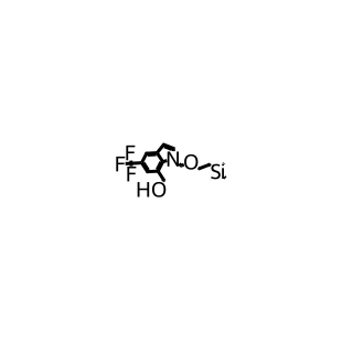 C[Si](C)(C)CCOCn1ccc2cc(C(F)(F)F)cc(CO)c21